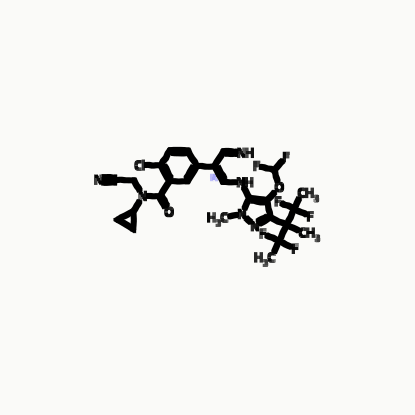 Cn1nc(C(C)(C(C)(F)F)C(C)(F)F)c(OC(F)F)c1N/C=C(\C=N)c1ccc(Cl)c(C(=O)N(CC#N)C2CC2)c1